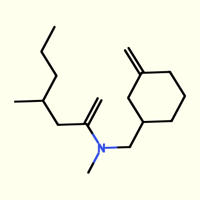 C=C1CCCC(CN(C)C(=C)CC(C)CCC)C1